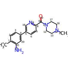 Cc1ccc(-c2ccc(C(=O)N3CCN(C)CC3)nc2)cc1N